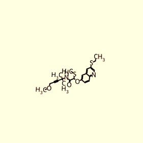 CCSc1cnc2ccc(OC(SC)C(=O)NC(C)(C)C#CCOC)cc2c1